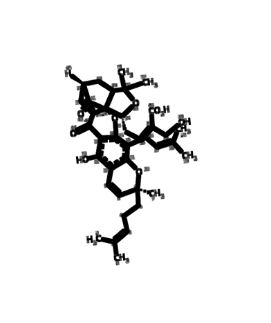 CC(C)=CCC[C@@]1(C)C=Cc2c(O)c3c(c(CC=C(C)C)c2O1)O[C@]12C(=C[C@@H]4CC1C(C)(C)O[C@@]2(C/C=C(/CO)C(=O)O)C4=O)C3=O